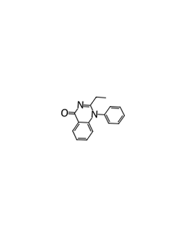 CCc1nc(=O)c2ccccc2n1-c1ccccc1